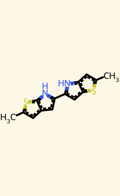 Cc1cc2[nH]c(-c3cc4cc(C)sc4[nH]3)cc2s1